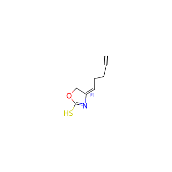 C#CCC/C=C1\COC(S)=N1